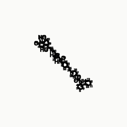 O=C(Nc1ccccc1-c1ccccc1)OC1CCN(CCc2ccc(NC(=O)c3ccc(CNCC(O)c4ccc(O)c5[nH]c(=O)ccc45)o3)cc2)CC1